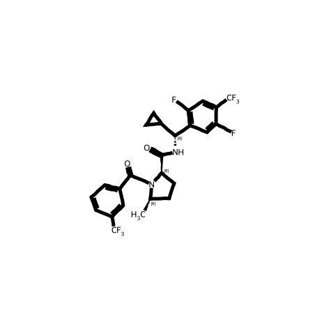 C[C@@H]1CC[C@H](C(=O)N[C@@H](c2cc(F)c(C(F)(F)F)cc2F)C2CC2)N1C(=O)c1cccc(C(F)(F)F)c1